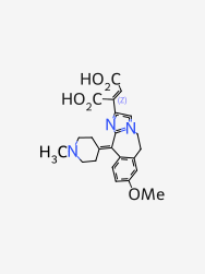 COc1ccc2c(c1)CCn1cc(/C(=C/C(=O)O)C(=O)O)nc1C2=C1CCN(C)CC1